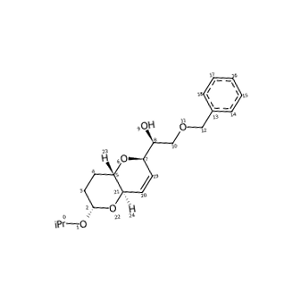 CC(C)O[C@@H]1CC[C@@H]2O[C@@H]([C@@H](O)COCc3ccccc3)C=C[C@H]2O1